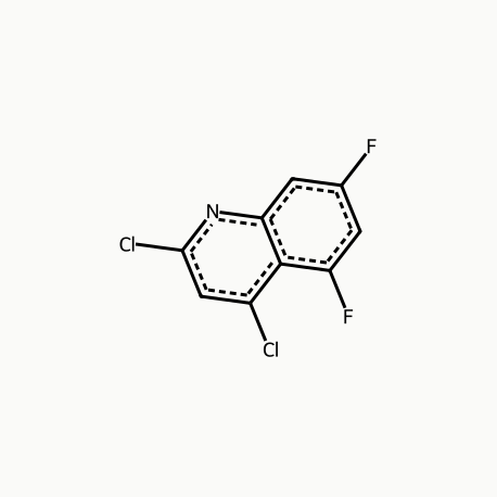 Fc1cc(F)c2c(Cl)cc(Cl)nc2c1